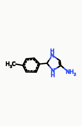 Cc1ccc(C2NC=C(N)N2)cc1